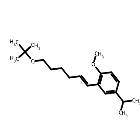 COc1ccc(C(C)C)cc1/C=C/CCCCOC(C)(C)C